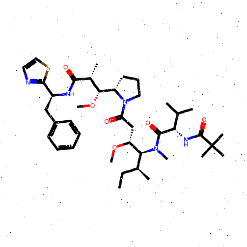 CC[C@H](C)[C@@H]([C@@H](CC(=O)N1CCC[C@H]1[C@H](OC)[C@@H](C)C(=O)N[C@@H](Cc1ccccc1)c1nccs1)OC)N(C)C(=O)[C@@H](NC(=O)C(C)(C)C)C(C)C